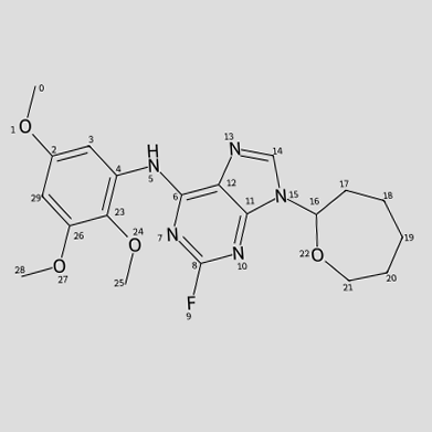 COc1cc(Nc2nc(F)nc3c2ncn3C2CCCCCO2)c(OC)c(OC)c1